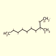 [CH2]CCCCCCC(C)C[CH2]